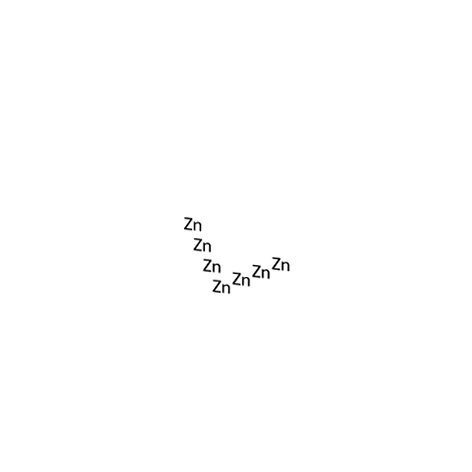 [Zn].[Zn].[Zn].[Zn].[Zn].[Zn].[Zn]